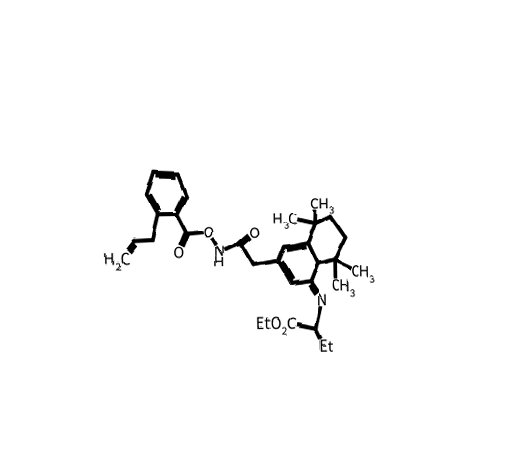 C=CCc1ccccc1C(=O)ONC(=O)CC1=CC(=NC(CC)C(=O)OCC)C2C(=C1)C(C)(C)CCC2(C)C